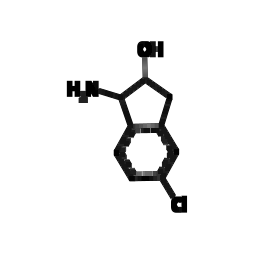 NC1c2ccc(Cl)cc2CC1O